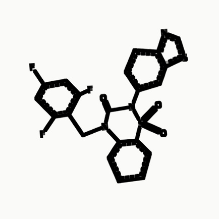 O=C1N(Cc2c(F)cc(F)cc2F)c2ccccc2S(=O)(=O)N1c1ccc2ncsc2c1